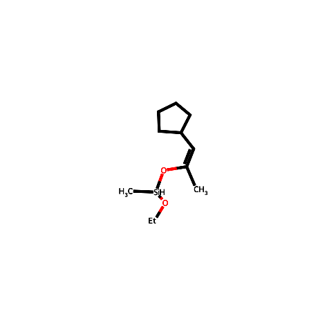 CCO[SiH](C)OC(C)=CC1CCCC1